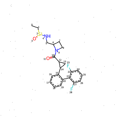 CC[S+]([O-])NCC1CCN1C(=O)C1CC1c1ccccc1-c1c(F)cccc1F